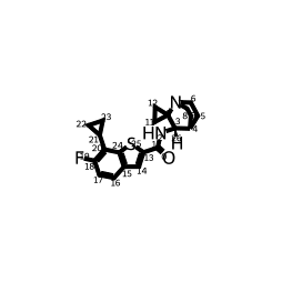 O=C(N[C@H]1C2CCN(CC2)C12CC2)c1cc2ccc(F)c(C3CC3)c2s1